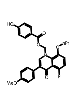 CCCOc1ccc(F)c2c(=O)c(-c3ccc(OC)cc3)cn(COC(=O)c3ccc(O)cc3)c12